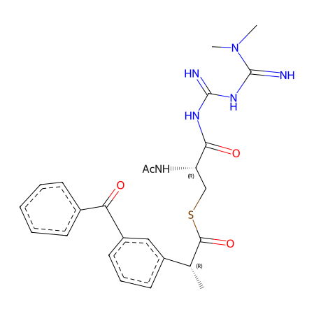 CC(=O)N[C@@H](CSC(=O)[C@H](C)c1cccc(C(=O)c2ccccc2)c1)C(=O)NC(=N)NC(=N)N(C)C